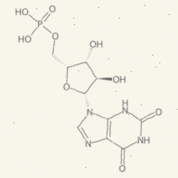 O=c1[nH]c(=O)c2ncn([C@@H]3O[C@H](COP(=O)(O)O)[C@H](O)[C@H]3O)c2[nH]1